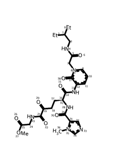 CCC(CC)CNC(=O)Cn1cccc(NC(=O)[C@H](CCC(=O)C(=O)NCC(=O)OC)NC(=O)c2cncn2C)c1=O